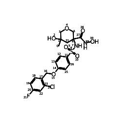 CC1(O)COCC(NS(=O)(=O)c2ccc(OCc3ccc(F)cc3Cl)cc2)(C(=O)NO)C1